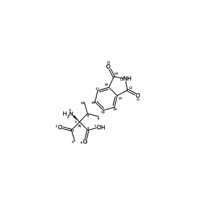 CC(=O)[C@@](N)(C(=O)O)C(C)C.O=C1NC(=O)c2ccccc21